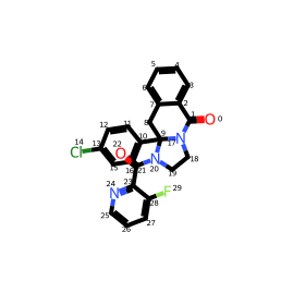 O=C1c2ccccc2CC2(c3ccc(Cl)cc3)N1CCN2C(=O)c1ncccc1F